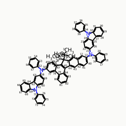 C[Si](C)(C)C1([Si](C)(C)C)c2cc3cc(N(c4ccccc4)c4ccc5c(c4)c4ccccc4n5-c4ccccc4)ccc3cc2-c2c1c1ccc(N(c3ccccc3)c3ccc4c(c3)c3ccccc3n4-c3ccccc3)cc1c1ccccc21